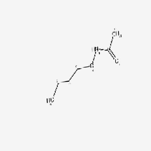 CC(=O)NOCCCO